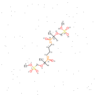 CCOS(=O)(=O)COC(C)(CC)[PH](=O)CCCC[PH](=O)C(C)(CC)OCS(=O)(=O)OCC